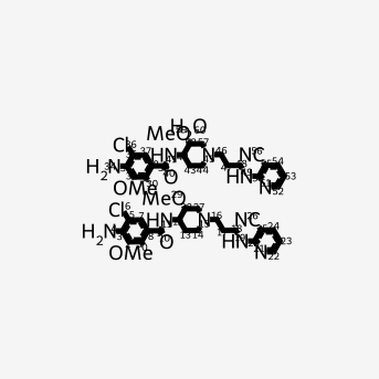 COc1cc(N)c(Cl)cc1C(=O)NC1CCN(CCCNc2ncccc2C#N)CC1OC.COc1cc(N)c(Cl)cc1C(=O)NC1CCN(CCCNc2ncccc2C#N)CC1OC.O